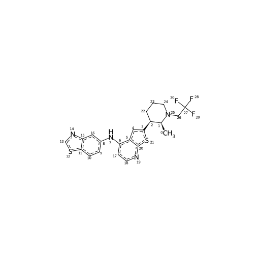 C[C@H]1[C@@H](c2cc3c(Nc4ccc5scnc5c4)ccnc3s2)CCCN1CC(F)(F)F